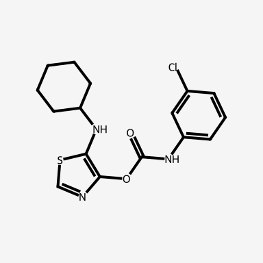 O=C(Nc1cccc(Cl)c1)Oc1ncsc1NC1CCCCC1